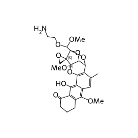 COc1c2c(c(O)c3c4c(c(C)cc13)C1OC3(C(OC)OCCN)OC1[C@@](OC)(O4)[C@@]31CO1)C(=O)CCC2